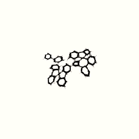 c1ccc(-c2ccc(N(c3ccc4c(c3)C3(c5ccccc5-c5ccccc5-c5ccccc53)c3ccccc3-4)c3ccc4c(c3)C3(c5ccccc5-c5ccccc53)c3ccccc3-4)cc2)cc1